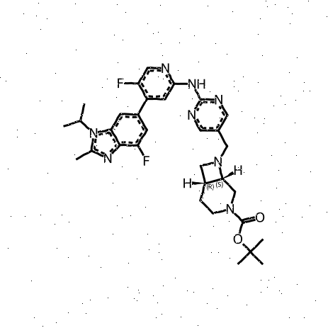 Cc1nc2c(F)cc(-c3cc(Nc4ncc(CN5C[C@H]6CCN(C(=O)OC(C)(C)C)C[C@H]65)cn4)ncc3F)cc2n1C(C)C